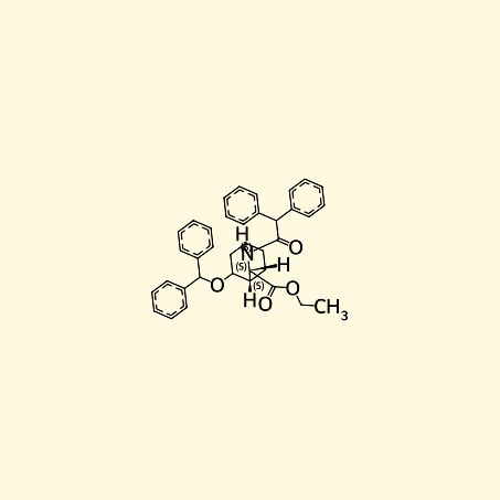 CCOC(=O)[C@@H]1[C@@H]2CC[C@@H](CC2OC(c2ccccc2)c2ccccc2)N1C(=O)C(c1ccccc1)c1ccccc1